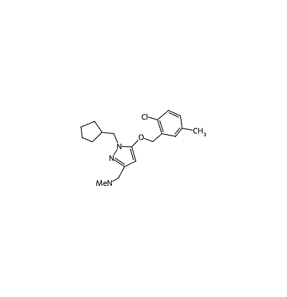 CNCc1cc(OCc2cc(C)ccc2Cl)n(CC2CCCC2)n1